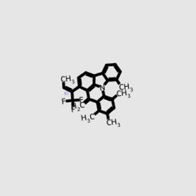 C=c1c2c(C)c(C)cc(C)c2n2c3c(C)cccc3c3ccc(/C(=C\C)C(F)(F)F)c1c32